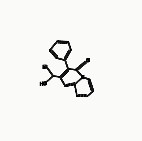 CCC(O)c1cc2ccccn2c(=O)c1-c1ccccc1